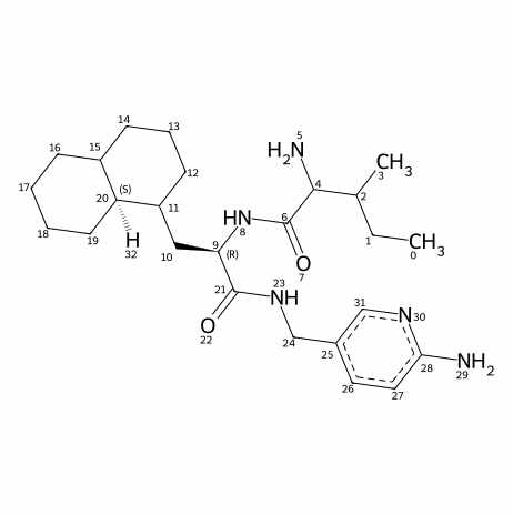 CCC(C)C(N)C(=O)N[C@H](CC1CCCC2CCCC[C@@H]21)C(=O)NCc1ccc(N)nc1